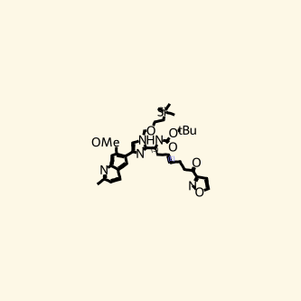 COc1cc2nc(C)ccc2cc1-c1cn(COCC[Si](C)(C)C)c([C@H](C/C=C/CCC(=O)c2ccon2)NC(=O)OC(C)(C)C)n1